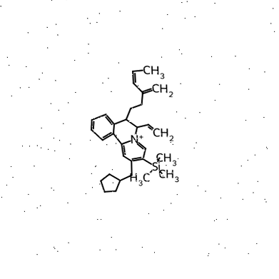 C=CC1C(CCC(=C)/C=C\C)c2ccccc2-c2cc(CC3CCCC3)c([Si](C)(C)C)c[n+]21